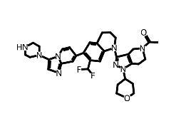 CC(=O)N1CCc2c(c(N3CCCc4cc(-c5ccn6c(N7CCNCC7)cnc6c5)c(C(F)F)cc43)nn2C2CCOCC2)C1